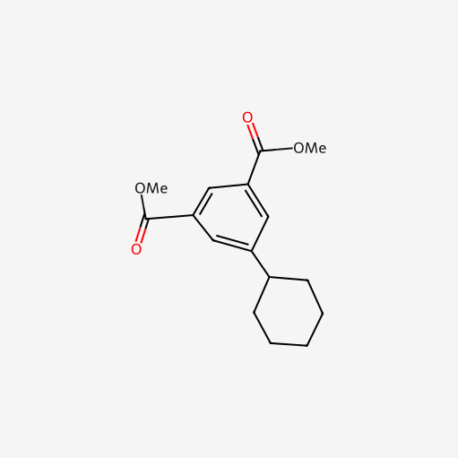 COC(=O)c1cc(C(=O)OC)cc(C2CCCCC2)c1